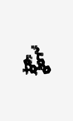 CCOC(=O)Cc1ccc(-c2ccccc2)c(Nc2cc(-c3ccn(C)n3)c(C(F)(F)F)cc2F)n1